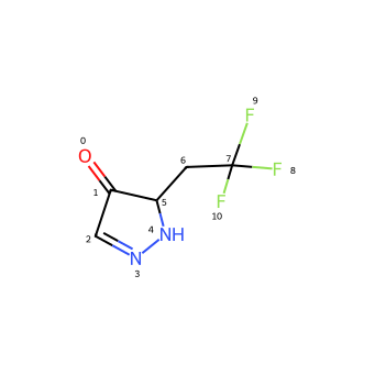 O=C1C=NNC1CC(F)(F)F